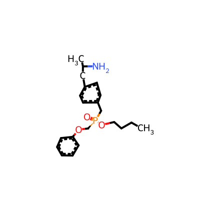 CCCCO[P@@](=O)(COc1ccccc1)Cc1ccc(CC(C)N)cc1